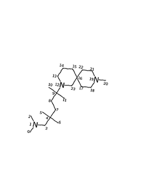 CN(C)CC(C)(C)CCC(C)(C)N1CCCC2(CCN(C)CC2)C1